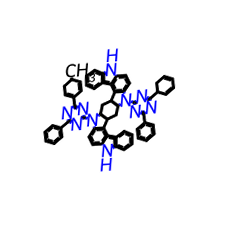 CC1C=CC(c2nc(-c3ccccc3)nc(N3c4ccc5[nH]c6ccccc6c5c4C4CC5C(CC43)c3c(ccc4[nH]c6ccccc6c34)N5c3nc(-c4ccccc4)nc(C4C=CC=CC4)n3)n2)=CC1